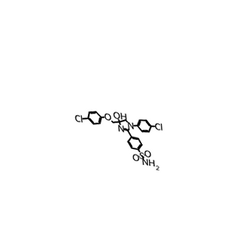 NS(=O)(=O)c1ccc(C2=NC(O)(COc3ccc(Cl)cc3)CN2c2ccc(Cl)cc2)cc1